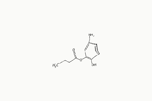 CCCC(=O)Oc1cc(N)ccc1O